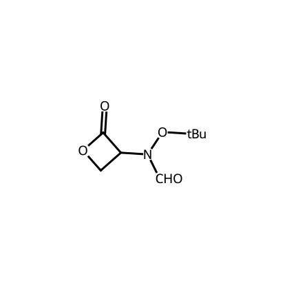 CC(C)(C)ON(C=O)C1COC1=O